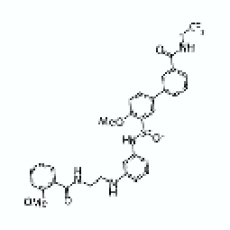 COc1ccccc1C(=O)NCCNc1cccc(N[S+]([O-])c2cc(-c3cccc(C(=O)NCC(F)(F)F)c3)ccc2OC)c1